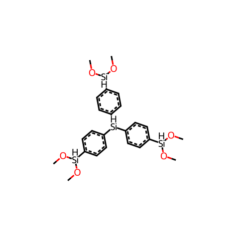 CO[SiH](OC)c1ccc([SiH](c2ccc([SiH](OC)OC)cc2)c2ccc([SiH](OC)OC)cc2)cc1